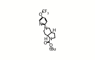 CC(C)(C)OC(=O)N1CC[C@@H]2CN(c3ccc(OC(F)(F)F)cn3)CC[C@@H]21